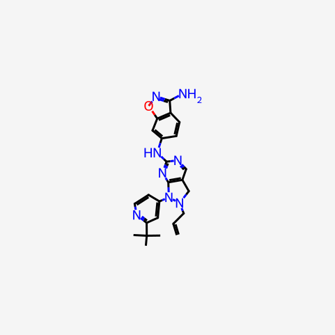 C=CCN1Cc2cnc(Nc3ccc4c(N)noc4c3)nc2N1c1ccnc(C(C)(C)C)c1